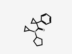 O=C(N(C1CCCC1)C1CC1)C1(c2ccccc2)CC1